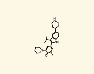 CC(C)c1c(-c2cc(N3CCCCC3)c(=O)n(C)c2)[nH]c2ccc(C3CCNCC3)cc12